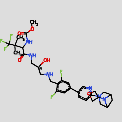 COC(=O)NC(C(=O)NC[C@@H](O)CNCc1c(F)cc(-c2ccc(N3CC4CC(C3)N4C3COC3)nc2)cc1F)C(C)(C)C(F)(F)F